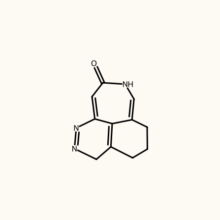 O=C1C=C2N=NCC3=C2C(=CN1)CCC3